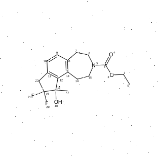 CCOC(=O)N1CCc2ccc3c(c2CC1)C(C)(O)C(F)(F)C3